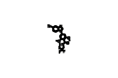 COc1cc(-n2cnc3cc(Br)ccc32)cc(OC)c1C(=O)NCC(F)(F)F